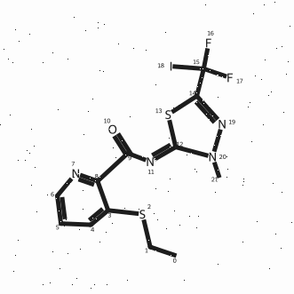 CCSc1cccnc1C(=O)/N=c1\sc(C(F)(F)I)nn1C